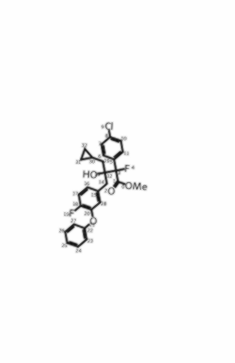 COC(=O)C(F)(c1ccc(Cl)cc1)C(O)(Cc1ccc(F)c(Oc2ccccc2)c1)CC1CC1